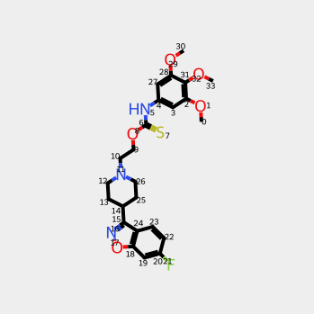 COc1cc(NC(=S)OCCN2CCC(c3noc4cc(F)ccc34)CC2)cc(OC)c1OC